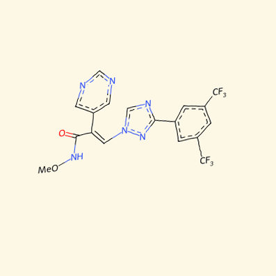 CONC(=O)/C(=C/n1cnc(-c2cc(C(F)(F)F)cc(C(F)(F)F)c2)n1)c1cncnc1